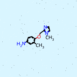 Cc1cc(N)ccc1OCc1nccn1C